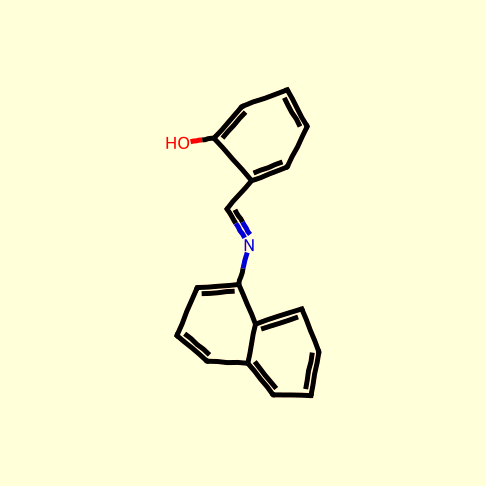 Oc1ccccc1/C=N/c1cccc2ccccc12